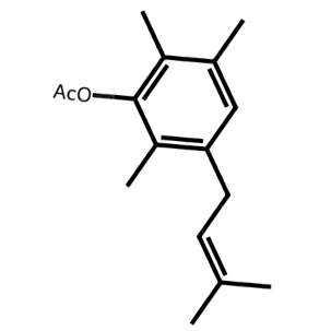 CC(=O)Oc1c(C)c(C)cc(CC=C(C)C)c1C